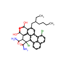 CCCCC(CC)Cc1cc2c3c(c4cccc5ccc(Br)c2c54)C(Br)(C(N)=O)C(C(N)=O)C(C(=O)O)=c3c1C(=O)O